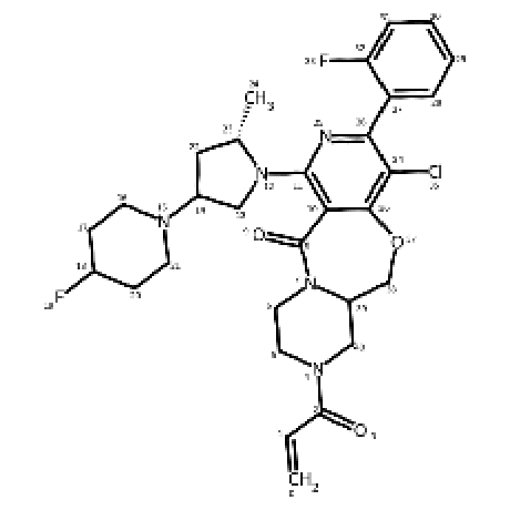 C=CC(=O)N1CCN2C(=O)c3c(N4CC(N5CCC(F)CC5)C[C@@H]4C)nc(-c4ccccc4F)c(Cl)c3OCC2C1